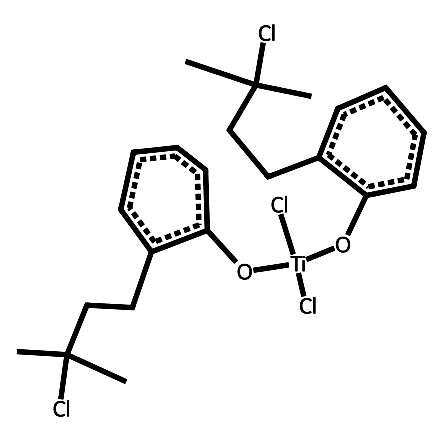 CC(C)(Cl)CCc1ccccc1[O][Ti]([Cl])([Cl])[O]c1ccccc1CCC(C)(C)Cl